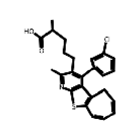 Cc1nc2sc3c(c2c(-c2cccc(Cl)c2)c1CCCC(C)C(=O)O)CC=CC=C3